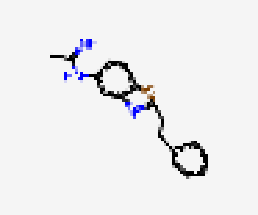 CC(=N)Nc1ccc2sc(CCc3ccccc3)nc2c1